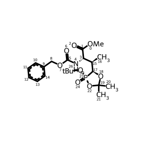 COC(=O)[C@@H](NC(=O)OCc1ccccc1)[C@@H](C)[C@H]1OC(C)(C)O[P@@]1(=O)OC(C)(C)C